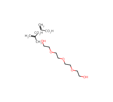 C=C(C)C(=O)O.C=CC(=O)O.OCCOCCOCCOCCO